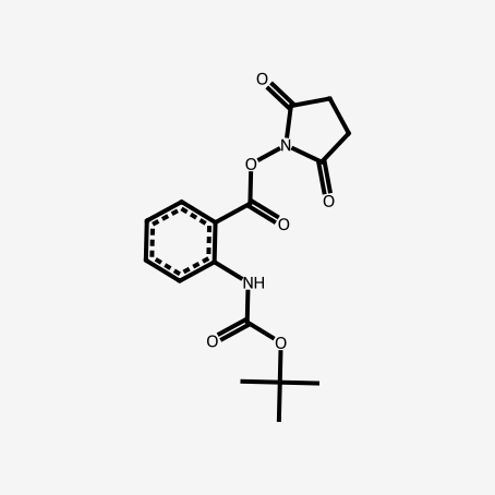 CC(C)(C)OC(=O)Nc1ccccc1C(=O)ON1C(=O)CCC1=O